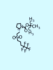 CC(C)(C)OC(=O)N1CCC[C@H]1CCS(=O)(=O)CCCC(F)(F)C(F)(F)F